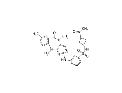 CC(=O)N1CC(NS(=O)(=O)c2cccc(Nc3ncc4c(n3)N(C)c3ccc(C)cc3C(=O)N4C)c2)C1